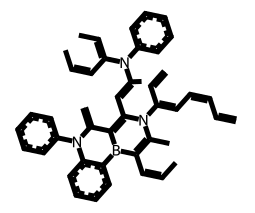 C=C/C=C\C=C(/C=C)N1C(C)=C(/C=C\C)B2C(=C1/C=C(\C)N(C(/C=C\C)=C/C)c1ccccc1)C(=C)N(c1ccccc1)c1ccccc12